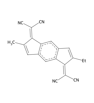 CCC1=Cc2cc3c(cc2C1=C(C#N)C#N)C=C(C)C3=C(C#N)C#N